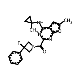 Cc1cc2c(NC3(C)CC3)nc(C(=O)N3CC(F)(c4ccccc4)C3)nc2o1